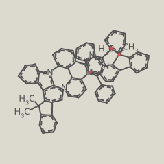 CC1(C)c2ccccc2-c2ccc3c(c21)c1ccccc1n3-c1cccnc1-c1c(-c2nc(-c3ccccc3)nc(-c3ccccc3)n2)cccc1-n1c2ccccc2c2c3c(ccc21)-c1ccccc1C3(C)C